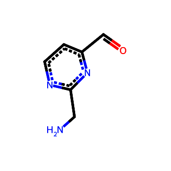 NCc1nccc(C=O)n1